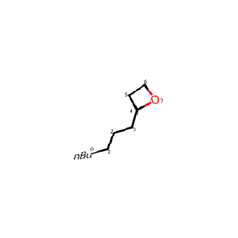 CCCCCCC[C]1CCO1